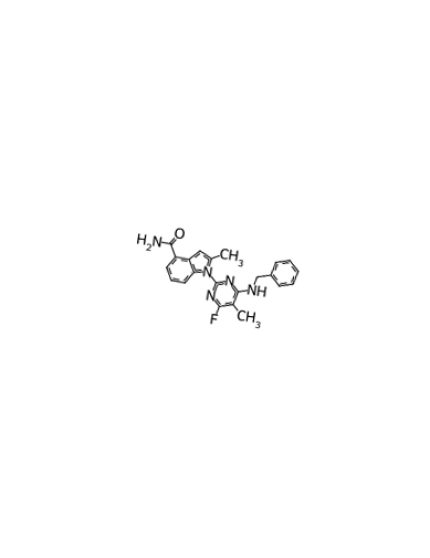 Cc1c(F)nc(-n2c(C)cc3c(C(N)=O)cccc32)nc1NCc1ccccc1